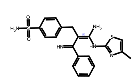 Cc1csc(N/C(N)=C(/Cc2ccc(S(N)(=O)=O)cc2)C(=N)c2ccccc2)n1